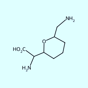 NCC1CCCC(C(N)C(=O)O)O1